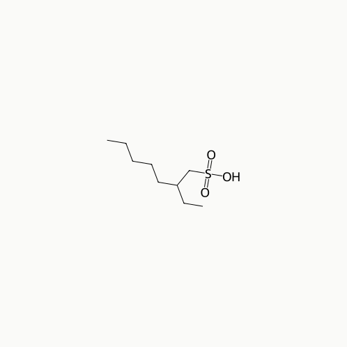 CCCCCC(CC)CS(=O)(=O)O